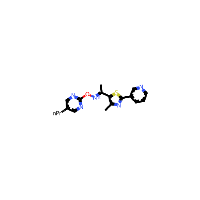 CCCc1cnc(O/N=C(\C)c2sc(-c3cccnc3)nc2C)nc1